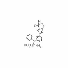 N[C@H](C(=O)O)C(c1ccccc1)c1nccc(-c2cc3n(n2)CCNC3=O)n1